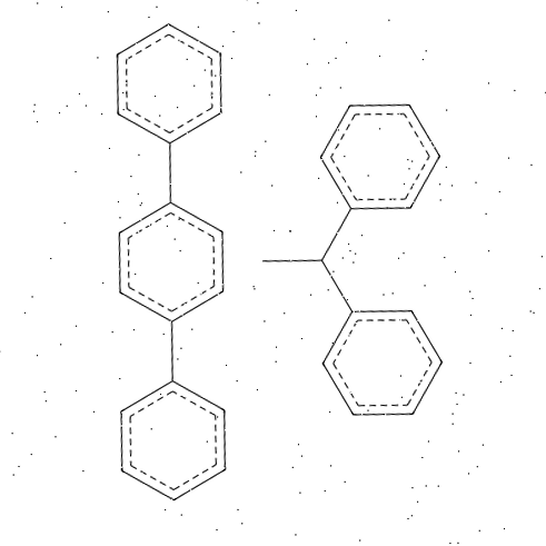 CC(c1ccccc1)c1ccccc1.c1ccc(-c2ccc(-c3ccccc3)cc2)cc1